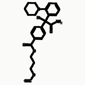 CCC(C(N)=O)(c1ccc(C(=O)OCCCO[C]=O)cc1)c1ccccc1N1CCCCC1